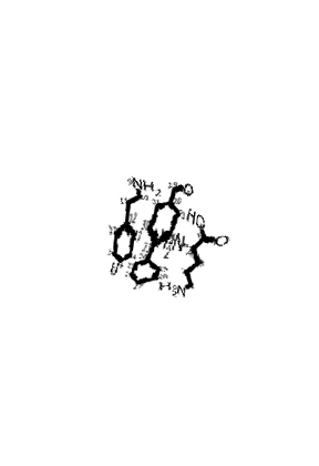 NCCC[C@H](N)C(=O)O.NCCc1ccccc1.O=Cc1ccc(-c2ccccc2)cc1.[H+]